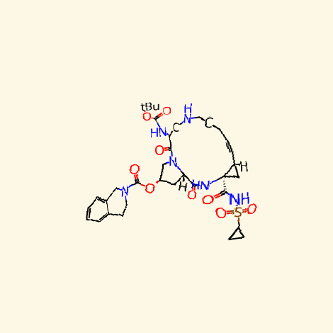 CC(C)(C)OC(=O)N[C@H]1CNCCC/C=C\[C@@H]2C[C@@]2(C(=O)NS(=O)(=O)C2CC2)NC(=O)[C@@H]2C[C@@H](OC(=O)N3CCc4ccccc4C3)CN2C1=O